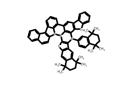 CC1(C)CCC(C)(C)c2cc(N3c4c(sc5cc6c(cc45)C(C)(C)CCC6(C)C)B4c5c(cc6c(sc7ccccc76)c53)-c3cccc5c6c7ccccc7ccc6n4c35)ccc21